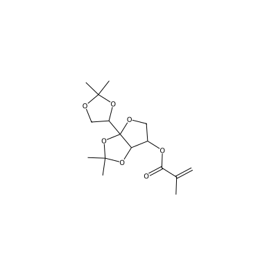 C=C(C)C(=O)OC1COC2(C3COC(C)(C)O3)OC(C)(C)OC12